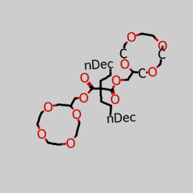 CCCCCCCCCCCCC(CCCCCCCCCCCC)(C(=O)OCC1COCCOCCOCCO1)C(=O)OCC1COCCOCCOCCO1